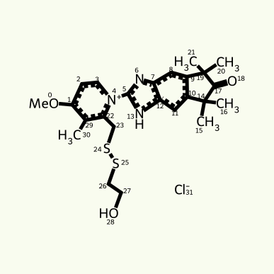 COc1cc[n+](-c2nc3cc4c(cc3[nH]2)C(C)(C)C(=O)C4(C)C)c(CSSCCO)c1C.[Cl-]